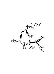 NC1=CC(N)=NC(S)(C(=O)[O-])N1.[Cu+]